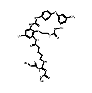 CC(C)(C)OC(=O)N=C(NCCCCC(=O)Nc1cc(C(F)(F)F)cc(NC(=O)Nc2ccc(Oc3c[c]cc(C(F)(F)F)c3)cc2)c1SCCNC(=O)OC(C)(C)C)NC(=O)OC(C)(C)C